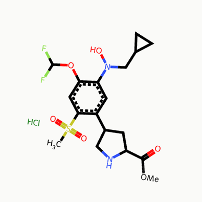 COC(=O)C1CC(c2cc(N(O)CC3CC3)c(OC(F)F)cc2S(C)(=O)=O)CN1.Cl